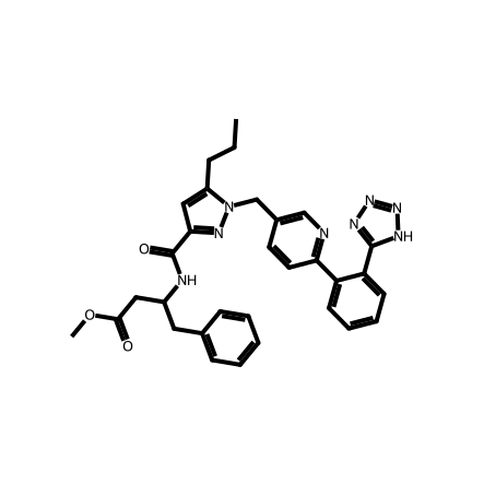 CCCc1cc(C(=O)NC(CC(=O)OC)Cc2ccccc2)nn1Cc1ccc(-c2ccccc2-c2nnn[nH]2)nc1